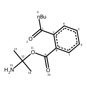 CCCCC(=O)c1ccccc1C(=O)OC(C)(C)N